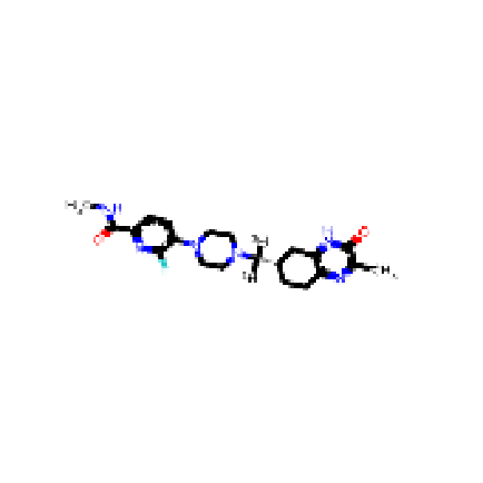 [2H]C([2H])([C@H]1CCc2nc(C)c(=O)[nH]c2C1)N1CCN(c2ccc(C(=O)NC)nc2F)CC1